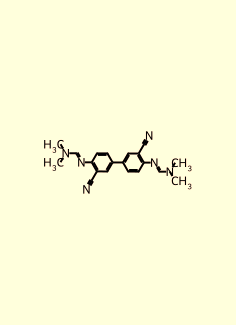 CN(C)C=Nc1ccc(-c2ccc(N=CN(C)C)c(C#N)c2)cc1C#N